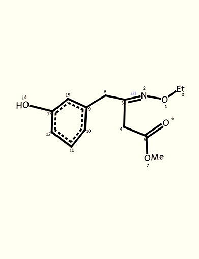 CCO/N=C(\CC(=O)OC)Cc1cccc(O)c1